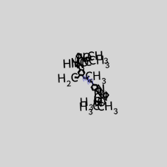 C=Cc1cc(-c2c[nH]c([C@@H]3CCCN3C(=O)OC(C)(C)C)n2)ccc1/C=C(C)/C=C/c1ccc2[nH]c([C@@H]3CCCN3C(=O)OC(C)(C)C)nc2c1